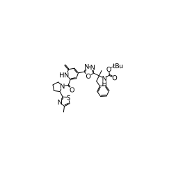 C=C1C=C(c2nnc(C(C)(Cc3ccccc3)NC(=O)OC(C)(C)C)o2)C=C(C(=O)N2CCCC2c2nc(C)cs2)N1